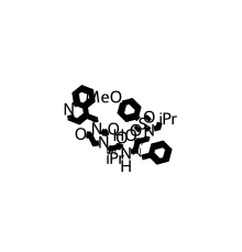 COc1ccc(S(=O)(=O)N(CC(C)C)C[C@@H](O)[C@H](Cc2ccccc2)NC(=O)[C@H](C(C)C)N2CC(=O)N(Cc3ccnc4ccccc34)C2=O)cc1